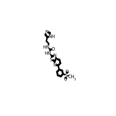 CS(=O)(=O)c1cccc(-c2ccc3nc(NC(=O)NCCc4cnc[nH]4)sc3n2)c1